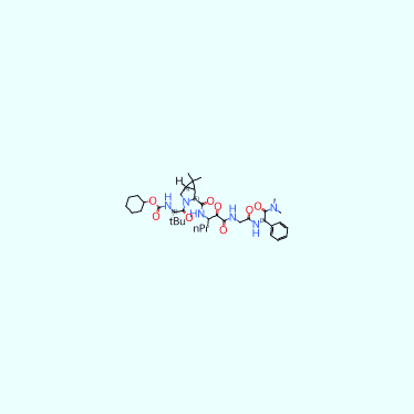 CCCC(NC(=O)[C@@H]1C2[C@H](CN1C(=O)[C@@H](NC(=O)OC1CCCCC1)C(C)(C)C)C2(C)C)C(=O)C(=O)NCC(=O)N[C@H](C(=O)N(C)C)c1ccccc1